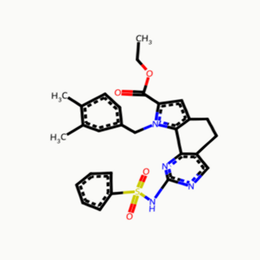 CCOC(=O)c1cc2c(n1Cc1ccc(C)c(C)c1)-c1nc(NS(=O)(=O)c3ccccc3)ncc1CC2